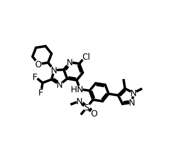 CN=S(C)(=O)c1cc(-c2cnn(C)c2C)ccc1Nc1cc(Cl)nc2c1nc(C(F)F)n2C1CCCCO1